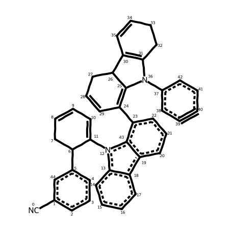 N#Cc1cccc(C2CC=CC=C2n2c3ccccc3c3cccc(C4=C5C(CC=C4)C4=C(CCC=C4)N5c4cc#ccc4)c32)c1